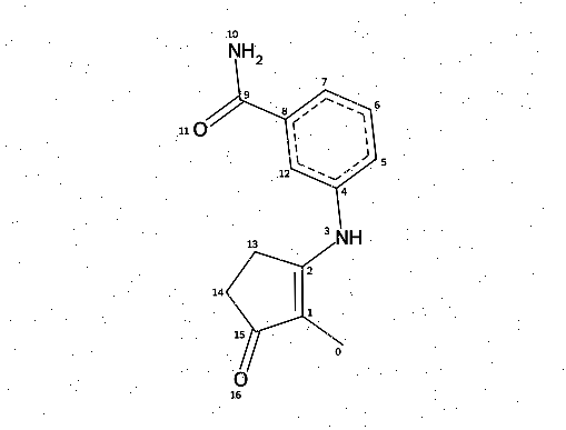 CC1=C(Nc2cccc(C(N)=O)c2)CCC1=O